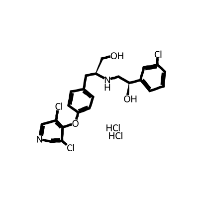 Cl.Cl.OC[C@H](Cc1ccc(Oc2c(Cl)cncc2Cl)cc1)NC[C@H](O)c1cccc(Cl)c1